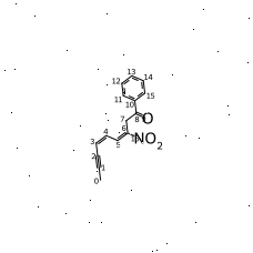 CC#C/C=C\C=C(/CC(=O)c1ccccc1)[N+](=O)[O-]